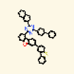 c1ccc(-c2ccc(-c3nc(-c4ccc5ccccc5c4)nc(-c4cccc5oc6cc(-c7ccc8sc9ccccc9c8c7)ccc6c45)n3)cc2)cc1